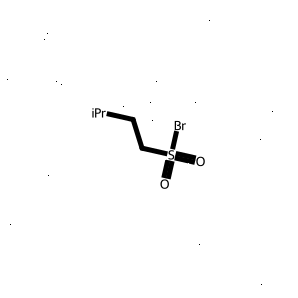 CC(C)CCS(=O)(=O)Br